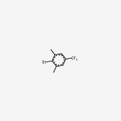 CCc1c(C)cc(C(F)(F)F)cc1C